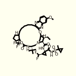 CC[C@@H]1[C@@H]2C[N@](C[C@H](C(C)(C)C)NC(=O)O[C@]3(C(F)(F)F)CCC[C@H]3CCCCCc3nc4ccc(OC)cc4nc3O2)[C@@H]1C(=O)N[C@]1(C(=O)NS(=O)(=O)C2(C)CC2)C[C@H]1C(F)F